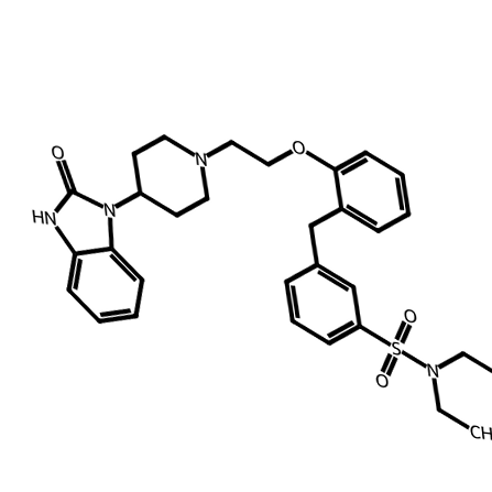 CCN(CC)S(=O)(=O)c1cccc(Cc2ccccc2OCCN2CCC(n3c(=O)[nH]c4ccccc43)CC2)c1